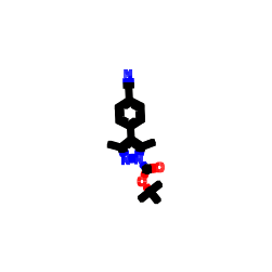 Cc1nn(C(=O)OC(C)(C)C)c(C)c1-c1ccc(C#N)cc1